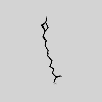 O=C(O)CCCCCCC/C=C/C12CC(F)(C1)C2